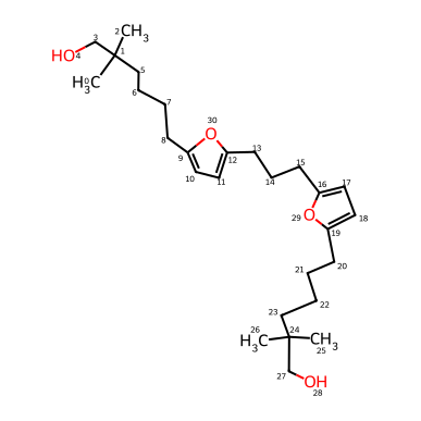 CC(C)(CO)CCCCc1ccc(CCCc2ccc(CCCCC(C)(C)CO)o2)o1